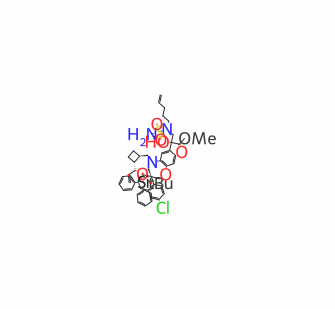 C=CCCCN(CC(O)(C(=O)OC)c1ccc2c(c1)N(C[C@@H]1CC[C@H]1C(C=C)O[Si](c1ccccc1)(c1ccccc1)C(C)(C)C)C[C@@]1(CCCc3cc(Cl)ccc31)CO2)S(N)(=O)=O